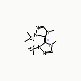 CN1C=NN([Si](C)(C)C)/C1=C1/N(C)C=NN1[Si](C)(C)C